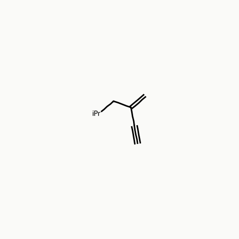 C#CC(=C)CC(C)C